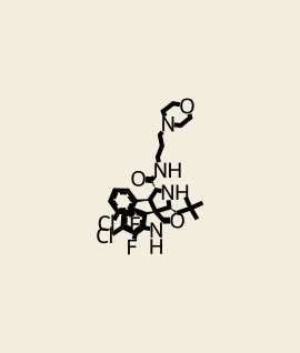 CC(C)(C)C[C@H]1N[C@@H](C(=O)NCCCN2CCOCC2)[C@H](c2cccc(Cl)c2F)[C@@]12C(=O)Nc1c2ccc(Cl)c1F